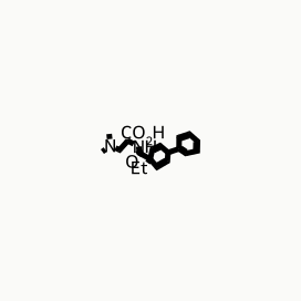 CCC1(C(=O)NC(CN(C)C)C(=O)O)C=CC(c2ccccc2)C=C1